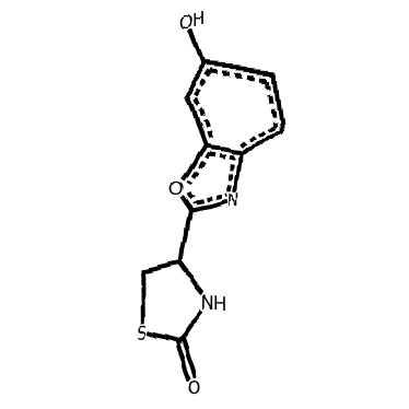 O=C1NC(c2nc3ccc(O)cc3o2)CS1